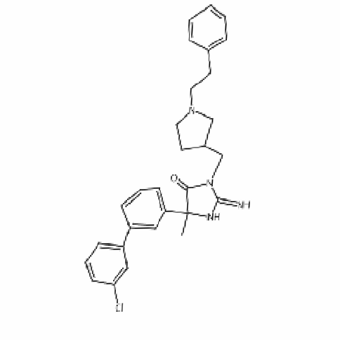 CC1(c2cccc(-c3cccc(Cl)c3)c2)NC(=N)N(CC2CCN(CCc3ccccc3)C2)C1=O